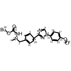 CN(Cc1ccc(-c2ncn(-c3ccc(OC(F)(F)F)cc3)n2)cc1)NC(=O)OC(C)(C)C